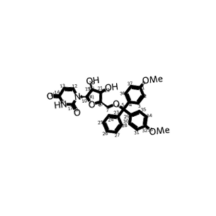 COc1ccc(C(OC[C@H]2O[C@@H](n3ccc(=O)[nH]c3=O)[C@@H](O)C2O)(c2ccccc2)c2ccc(OC)cc2)cc1